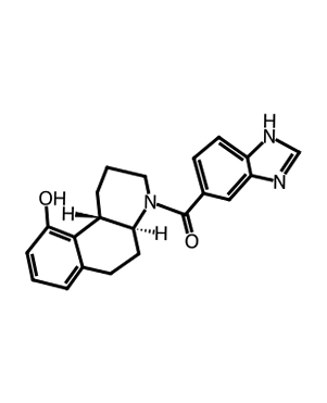 O=C(c1ccc2[nH]cnc2c1)N1CCC[C@H]2c3c(O)cccc3CC[C@@H]21